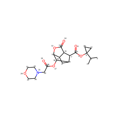 CC(C)C1(OC(=O)C2C3CC4C(OC(=O)C42)C3OC(=O)CN2CCOCC2)CC1